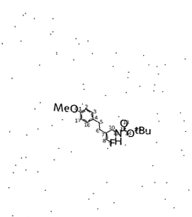 COc1ccc(CC/C(=C/F)CNC(=O)OC(C)(C)C)cc1